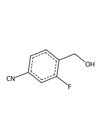 [C-]#[N+]c1ccc(CO)c(F)c1